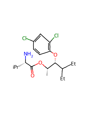 CCC(CC)[C@@H](Oc1ccc(Cl)cc1Cl)[C@H](C)OC(=O)[C@@H](N)C(C)C